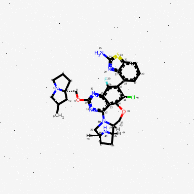 CC1CN2CCC[C@@]2(COc2nc3c4c(c(Cl)c(-c5cccc6sc(N)nc56)c(F)c4n2)OC[C@@H]2[C@@H]4CC[C@H](CN32)N4)C1